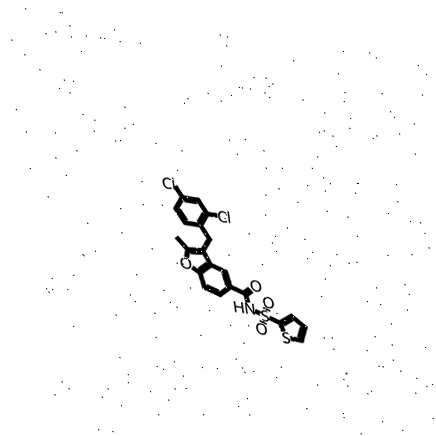 Cc1oc2ccc(C(=O)NS(=O)(=O)c3cccs3)cc2c1Cc1ccc(Cl)cc1Cl